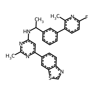 Cc1nc(NC(C)c2cccc(-c3ccc(F)nc3C)c2)cc(-c2ccc3ncsc3c2)n1